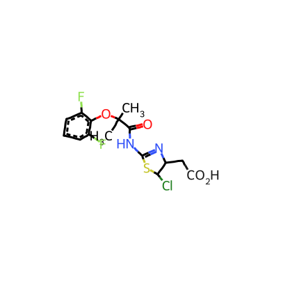 CC(C)(Oc1c(F)cccc1F)C(=O)NC1=NC(CC(=O)O)C(Cl)S1